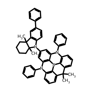 CC1(C)c2cccc3c2B2c4c(cc(N5c6ccc(-c7ccccc7)cc6C6(C)CCCCC56C)cc4N(c4ccccc4)c4cccc1c42)N3c1ccccc1